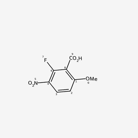 COc1ccc([N+](=O)[O-])c(F)c1C(=O)O